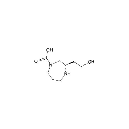 O=C(O)N1CCCN[C@H](CCO)C1